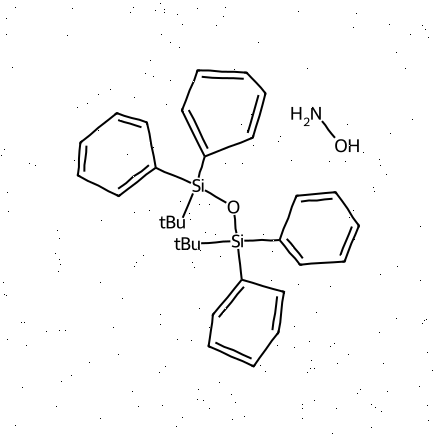 CC(C)(C)[Si](O[Si](c1ccccc1)(c1ccccc1)C(C)(C)C)(c1ccccc1)c1ccccc1.NO